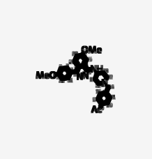 COc1ccc(-c2nnc(NC3CCN(Cc4ccc(C(C)=O)cc4)CC3)c3cc(OC)ccc23)cc1